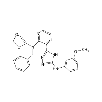 COc1cccc(Nc2nnc(-c3cccnc3N(Cc3ccccc3)C3=COCO3)[nH]2)c1